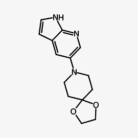 c1cc2cc(N3CCC4(CC3)OCCO4)cnc2[nH]1